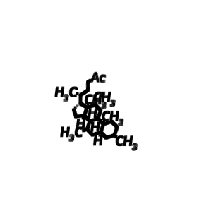 CC(=O)CC[C@@H](C)[C@H]1CC[C@H]2[C@@H]3C(C)C[C@@H]4C[C@H](C)CC[C@]4(C)[C@H]3C[C@H](C)[C@]12C